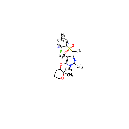 C/C=C(F)\C(=C/C)S(=O)(=O)C(C#N)c1nc(C)nc(OC2CCCOC2(C)C)c1[N+](=O)[O-]